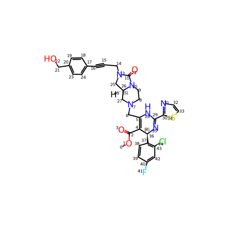 COC(=O)C1=C(CN2CCN3C(=O)N(CC#Cc4ccc(CO)cc4)C[C@@H]3C2)NC(c2nccs2)=N[C@H]1c1ccc(F)cc1Cl